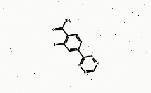 NC(=O)c1ccc(-c2nncnn2)cc1F